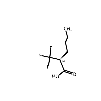 CCCC[C@@H](C(=O)O)C(F)(F)F